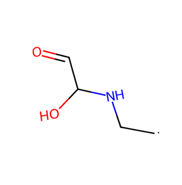 [CH2]CNC(O)C=O